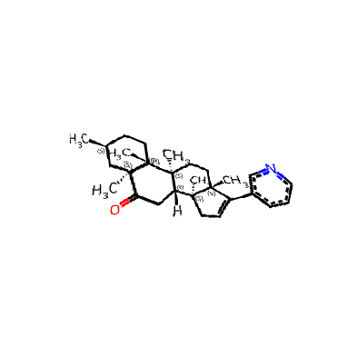 C[C@H]1CC[C@]2(C)[C@@]3(C)CC[C@]4(C)C(c5cccnc5)=CC[C@@]4(C)[C@@H]3CC(=O)[C@@]2(C)C1